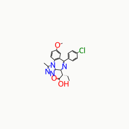 CC[C@H](C(=O)O)[C@@H]1N=C(c2ccc(Cl)cc2)c2cc(OC)ccc2-n2c(C)nnc21